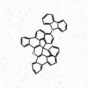 c1ccc(C2(c3ccc(-n4c5ccccc5c5ccccc54)cc3)c3c(c4ccccc4c4ccccc34)Oc3c2c2ccccc2c2ccccc32)cc1